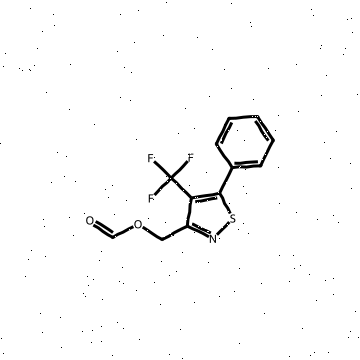 O=COCc1nsc(-c2ccccc2)c1C(F)(F)F